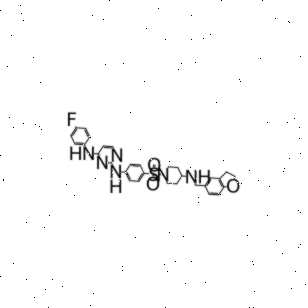 O=S(=O)(c1ccc(Nc2nccc(Nc3ccc(F)cc3)n2)cc1)N1CCC(NCc2ccc3c(c2)CCO3)CC1